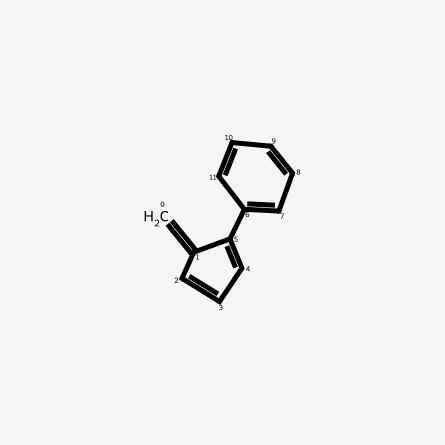 C=C1C=CC=C1c1ccccc1